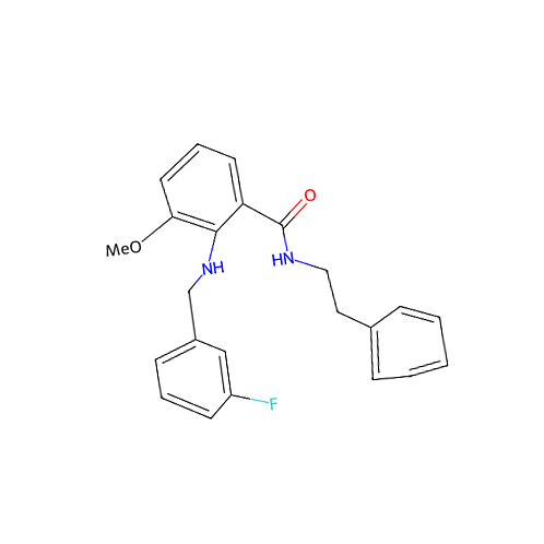 COc1cccc(C(=O)NCCc2ccccc2)c1NCc1cccc(F)c1